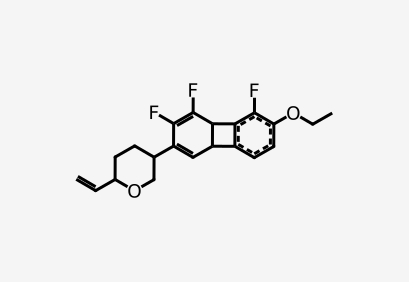 C=CC1CCC(C2=CC3c4ccc(OCC)c(F)c4C3C(F)=C2F)CO1